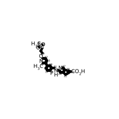 Cc1nc(OCCCS(C)(=O)=O)ccc1-c1ccc(F)c(CNc2cc3c(cn2)C2C(C3)C2C(=O)O)c1